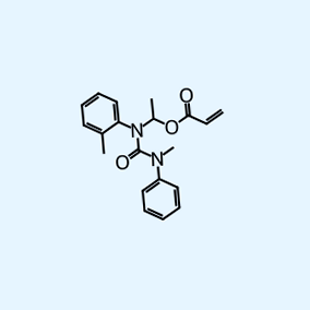 C=CC(=O)OC(C)N(C(=O)N(C)c1ccccc1)c1ccccc1C